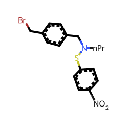 CCCN(Cc1ccc(CBr)cc1)Sc1ccc([N+](=O)[O-])cc1